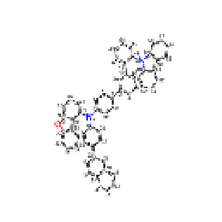 c1cc(-c2ccc(N(c3ccc(-c4ccc5ccccc5c4)cc3)c3cccc4oc5ccccc5c34)cc2)cc(-c2ccccc2-n2c3ccccc3c3ccccc32)c1